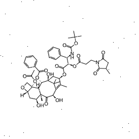 CC(=O)O[C@@]12CO[C@H]1C[C@H](O)[C@@]1(C)C(=O)[C@H](O)C3=C(C)[C@H](OC(=O)[C@H](OC(=O)CCN4C(=O)CC(C)C4=O)[C@H](NC(=O)OC(C)(C)C)c4ccccc4)C[C@@](O)([C@@H](OC(=O)c4ccccc4)[C@@H]21)C3(C)C